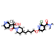 CN(C)C(=O)c1ccc(OCCCCC2CCN(C(=O)C(O)(c3cccnc3)C(F)(F)F)CC2)nc1Cl